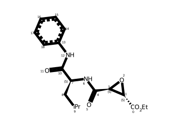 CCOC(=O)[C@H]1O[C@@H]1C(=O)N[C@@H](CC(C)C)C(=O)Nc1ccccc1